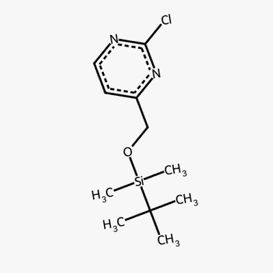 CC(C)(C)[Si](C)(C)OCc1ccnc(Cl)n1